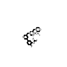 CO[C@@H](CN(C=O)Cc1cncc(-c2ccc(F)c(OC(F)F)c2)c1)CN1CCOCC1